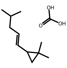 CC(C)CC=CC1CC1(C)C.O=C(O)O